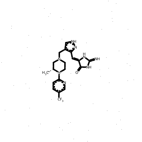 C[C@@H]1CN(Cc2c[nH]nc2/C=C2\NC(=N)NC2=O)CCN1c1ccc(C(F)(F)F)cn1